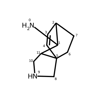 NC1C2C=CC3(CC2)CNCC13